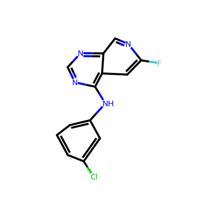 Fc1cc2c(Nc3cccc(Cl)c3)ncnc2cn1